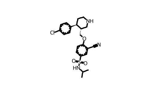 CC(C)NS(=O)(=O)c1ccc(OC[C@H]2CNCC[C@@H]2c2ccc(Cl)cc2)c(C#N)c1